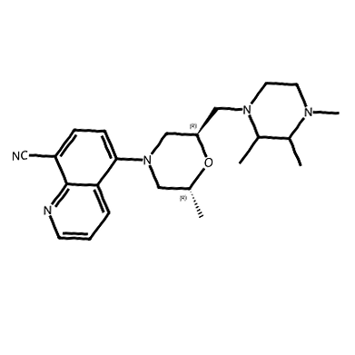 CC1C(C)N(C[C@@H]2CN(c3ccc(C#N)c4ncccc34)C[C@@H](C)O2)CCN1C